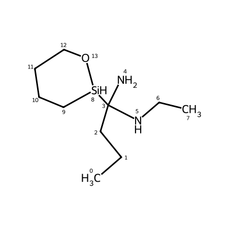 CCCC(N)(NCC)[SiH]1CCCCO1